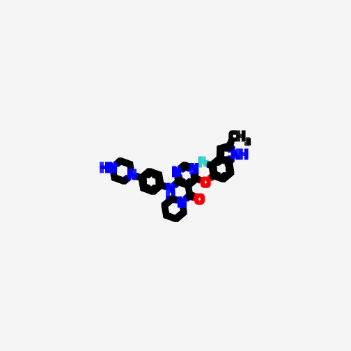 Cc1cc2c(F)c(Oc3ncnc(Nc4ccc(N5CCNCC5)cc4)c3C(=O)N3CCCCC3)ccc2[nH]1